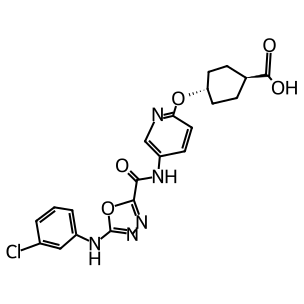 O=C(Nc1ccc(O[C@H]2CC[C@H](C(=O)O)CC2)nc1)c1nnc(Nc2cccc(Cl)c2)o1